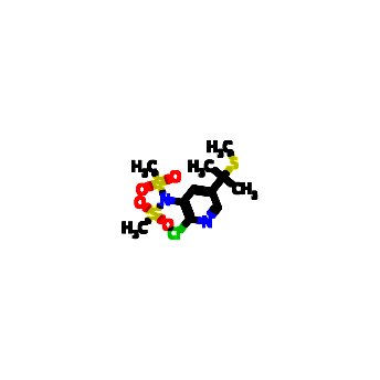 CSC(C)(C)c1cnc(Cl)c(N(S(C)(=O)=O)S(C)(=O)=O)c1